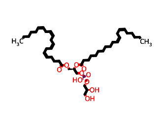 CCCCC/C=C\C/C=C\C/C=C\C/C=C\CCCC(=O)OC[C@H](COP(=O)(O)OC[C@@H](O)CO)OC(=O)CCCCCCCCC/C=C\C/C=C\CCCCC